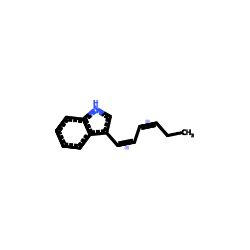 CC/C=C\C=C/c1c[nH]c2ccccc12